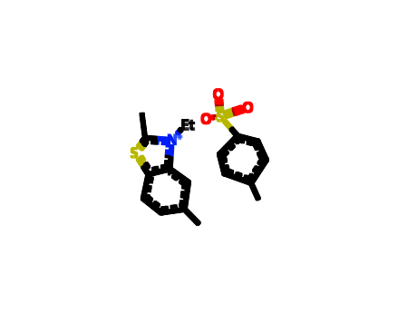 CC[n+]1c(C)sc2ccc(C)cc21.Cc1ccc(S(=O)(=O)[O-])cc1